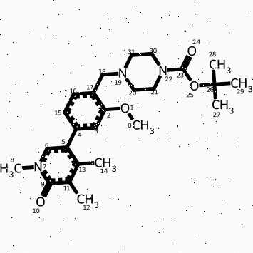 COc1cc(-c2cn(C)c(=O)c(C)c2C)ccc1CN1CCN(C(=O)OC(C)(C)C)CC1